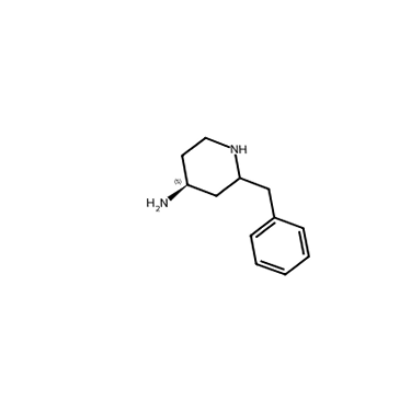 N[C@H]1CCNC(Cc2ccccc2)C1